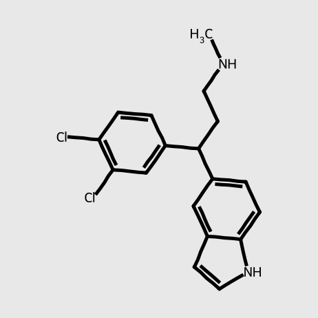 CNCCC(c1ccc(Cl)c(Cl)c1)c1ccc2[nH]ccc2c1